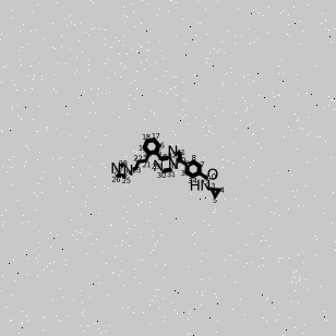 O=C(NC1CC1)c1ccc(-c2cnc3c(-c4ccccc4CCCn4ccnc4)nccn23)cc1